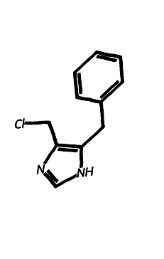 ClCc1nc[nH]c1Cc1ccccc1